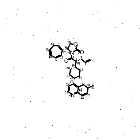 C=CC[C@@H](C(=O)N1C(=O)OC[C@H]1C1=CCC#CC=C1)[C@H]1CC[C@@H](c2ccnc3c2CC(F)C=C3)CC1